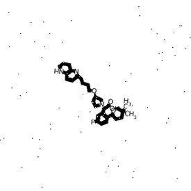 CC1(C)CCC(c2ccc(F)cc2C(C(=O)O)N2CC[C@@H](OCCCCc3ccc4c(n3)CCCN4)C2)OC1